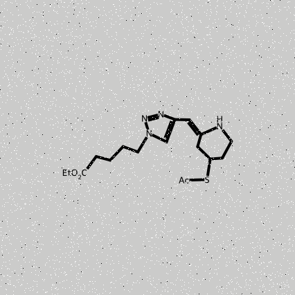 CCOC(=O)CCCCn1cc(/C=C2\CC(SC(C)=O)CCN2)nn1